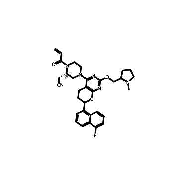 C=CC(=O)N1CCN(c2nc(OCC3CCCN3C)nc3c2CCC(c2cccc4c(F)cccc24)O3)C[C@@H]1CC#N